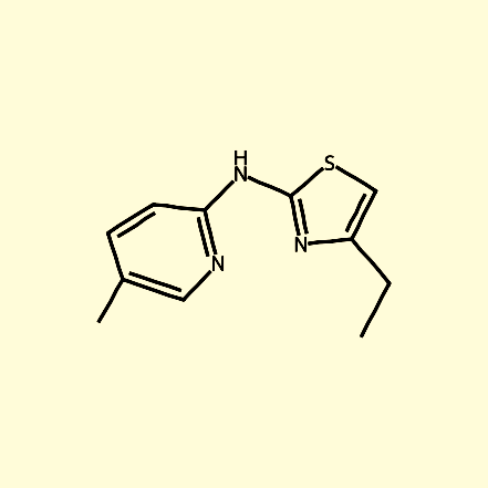 CCc1csc(Nc2ccc(C)cn2)n1